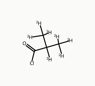 [2H]C([2H])([2H])C([2H])(C(=O)Cl)C([2H])([2H])[2H]